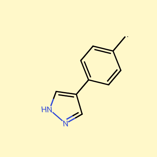 [CH2]c1ccc(-c2cn[nH]c2)cc1